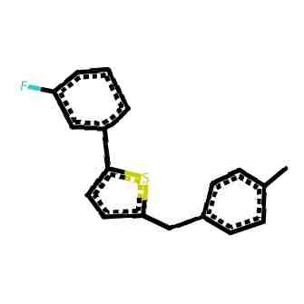 Cc1ccc(Cc2ccc(-c3cccc(F)c3)s2)cc1